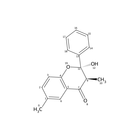 Cc1ccc2c(c1)C(=O)[C@H](C)[C@](O)(c1ccccc1)O2